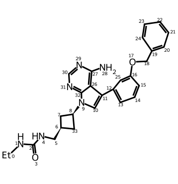 CCNC(=O)NC[C@H]1C[C@@H](n2cc(-c3cccc(OCc4ccccc4)c3)c3c(N)ncnc32)C1